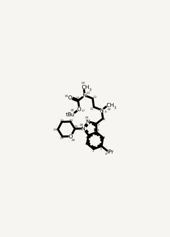 CC(C)c1ccc2c(c1)c(CN(C)CCN(C)C(=O)OC(C)(C)C)nn2C1CCCCO1